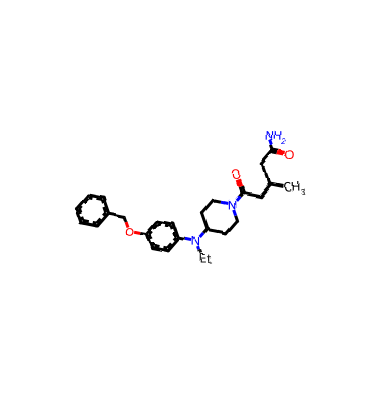 CCN(c1ccc(OCc2ccccc2)cc1)C1CCN(C(=O)CC(C)CC(N)=O)CC1